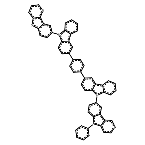 c1ccc(-n2c3ccncc3c3cc(-n4c5ccccc5c5cc(-c6ccc(-c7ccc8c(c7)c7ccccc7n8-c7ccc8sc9cccnc9c8c7)cc6)ccc54)ccc32)cc1